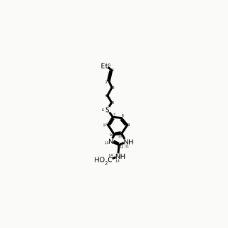 CCC=CCCCSc1ccc2[nH]c(NC(=O)O)nc2c1